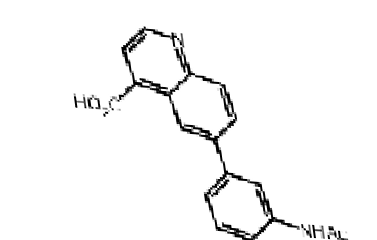 CC(=O)Nc1cccc(-c2ccc3nccc(C(=O)O)c3c2)c1